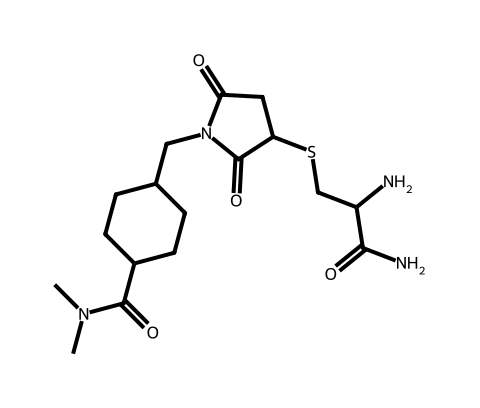 CN(C)C(=O)C1CCC(CN2C(=O)CC(SCC(N)C(N)=O)C2=O)CC1